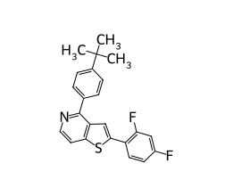 CC(C)(C)c1ccc(-c2nccc3sc(-c4ccc(F)cc4F)cc23)cc1